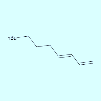 C=CC=CC[CH]CCCCC